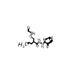 C=CCC(CONC=O)C(=O)NNc1ncncc1F